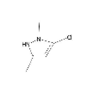 C[C]1C=C(Cl)N(C)N1